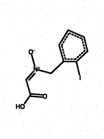 O=C(O)/C=[N+](/[O-])Cc1ccccc1I